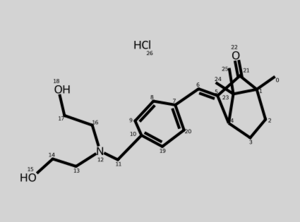 CC12CCC(/C(=C\c3ccc(CN(CCO)CCO)cc3)C1=O)C2(C)C.Cl